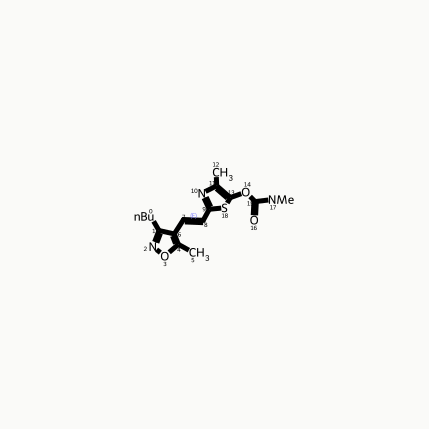 CCCCc1noc(C)c1/C=C/c1nc(C)c(OC(=O)NC)s1